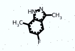 Cc1n[nH]c2c(C)cc(F)cc12